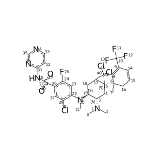 CN(C)[C@H]1C[C@@]2(C3(C)C=C(C(F)(F)F)C=CC3)C(C[C@@H]1N(C)c1cc(F)c(S(=O)(=O)Nc3ccncn3)cc1Cl)C2(Cl)Cl